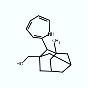 CC12CC3CC(C1)CC(CO)(C3)C2C1=CC=CC=CN1